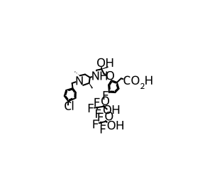 C[C@@H]1CC(NC[C@](C)(O)COc2cc(F)ccc2CC(=O)O)[C@@H](C)CN1Cc1ccc(Cl)cc1.O=C(O)C(F)(F)F.O=C(O)C(F)(F)F